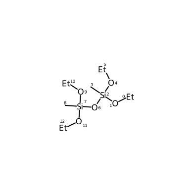 CCO[Si](C)(OCC)O[Si](C)(OCC)OCC